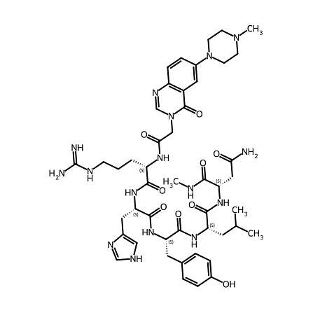 CNC(=O)[C@H](CC(N)=O)NC(=O)[C@H](CC(C)C)NC(=O)[C@H](Cc1ccc(O)cc1)NC(=O)[C@H](Cc1c[nH]cn1)NC(=O)[C@H](CCCNC(=N)N)NC(=O)Cn1cnc2ccc(N3CCN(C)CC3)cc2c1=O